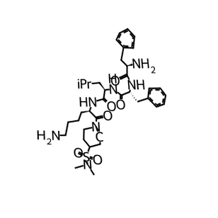 CC(C)C[C@@H](NC(=O)[C@@H](Cc1ccccc1)NC(=O)[C@H](N)Cc1ccccc1)C(=O)N[C@H](CCCCN)C(=O)N1CCC(S(=O)(=O)N(C)C)CC1